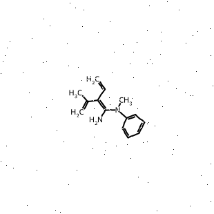 C=C/C(C(=C)C)=C(/N)N(C)c1ccccc1